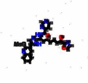 COc1nc2ccccc2cc1-c1cnc([C@H](CCCCCC(=O)c2ncco2)NC(=O)c2ccncn2)[nH]1